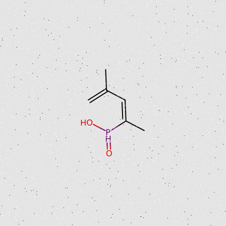 C=C(C)/C=C(/C)[PH](=O)O